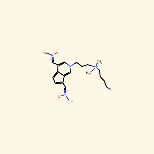 CC(C)(C)/[N+]([O-])=C/c1cn(CCC[N+](C)(C)CCCCI)cc2c(/C=[N+](\[O-])C(C)(C)C)ccc1-2